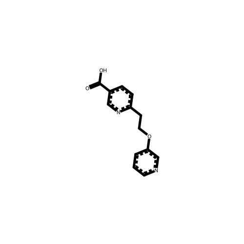 O=C(O)c1ccc(CCOc2cccnc2)nc1